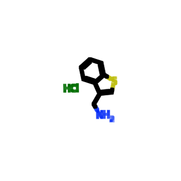 Cl.NCc1csc2ccccc12